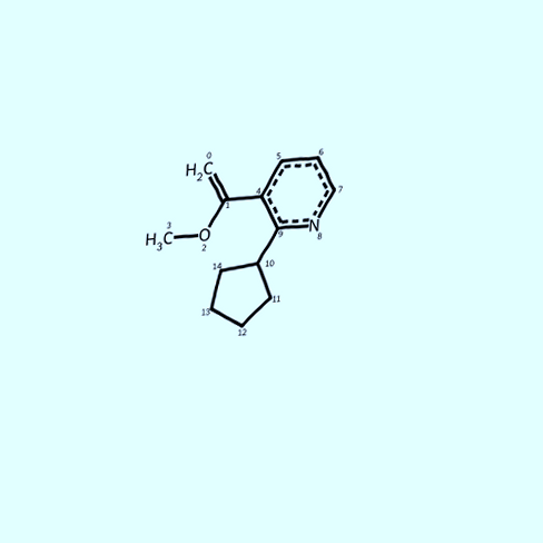 C=C(OC)c1cccnc1C1CCCC1